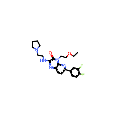 CCOCCn1c(=O)c(NCCN2CCCC2)nc2ccc(-c3ccc(F)c(F)c3)nc21